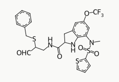 CN(c1cc(OC(F)(F)F)cc2c1NC(C(=O)NCC(C=O)SCc1ccccc1)C2)S(=O)(=O)c1cccs1